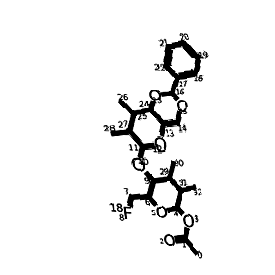 CC(=O)OC1OC(C[18F])C(OC2OC3COC(c4ccccc4)OC3C(C)C2C)C(C)C1C